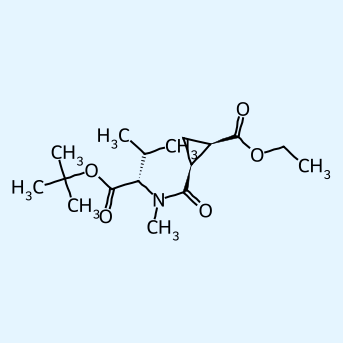 CCOC(=O)[C@@H]1C[C@@H]1C(=O)N(C)[C@H](C(=O)OC(C)(C)C)C(C)C